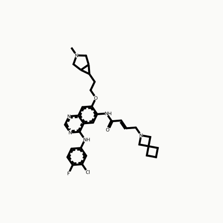 CN1CC2C(CCOc3cc4ncnc(Nc5ccc(F)c(Cl)c5)c4cc3NC(=O)C=CCN3CC4(CCC4)C3)C2C1